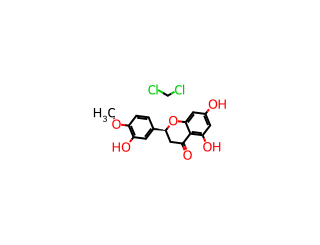 COc1ccc([C@@H]2CC(=O)c3c(O)cc(O)cc3O2)cc1O.ClCCl